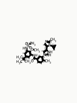 COc1c(NC(=O)c2ccc(C)c(N3C=C(c4cnc(C)n4C4CC4)NN3)c2)cc(C(C)(C)C)cc1NS(C)(=O)=O